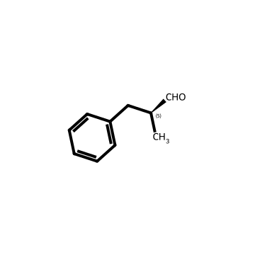 C[C@H](C=O)Cc1ccccc1